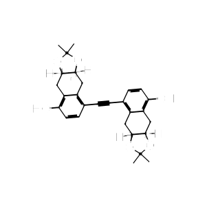 CC1(C)O[C@H]2Cc3c(O)ccc(C#Cc4ccc(O)c5c4C[C@H]4OC(C)(C)O[C@H]4C5)c3C[C@H]2O1